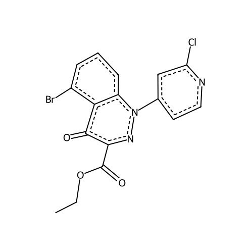 CCOC(=O)c1nn(-c2ccnc(Cl)c2)c2cccc(Br)c2c1=O